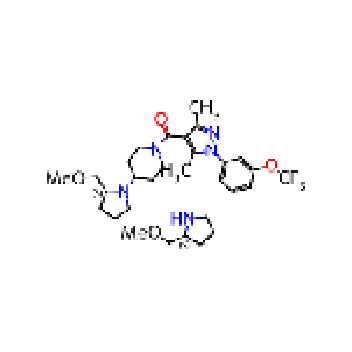 COC[C@@H]1CCCN1.COC[C@@H]1CCCN1C1CCN(C(=O)c2c(C)nn(-c3cccc(OC(F)(F)F)c3)c2C)CC1